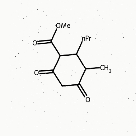 CCCC1C(C)C(=O)CC(=O)C1C(=O)OC